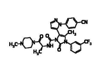 Cc1c(-c2ccnn2-c2ccc(C#N)cc2)n(C(=O)N[C@@H](C)C(=O)N2CCN(C)CC2)c(=O)n1-c1cccc(C(F)(F)F)c1